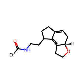 CCC(=O)NCCC1CCC2=CC[C@@H]3OCCC3=C21